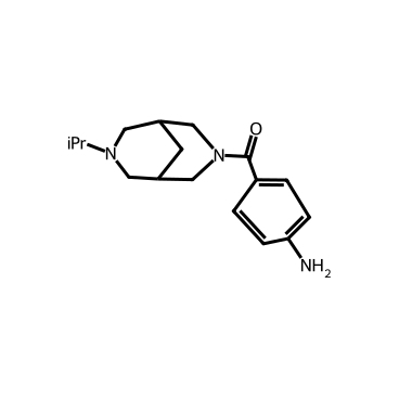 CC(C)N1CC2CC(CN(C(=O)c3ccc(N)cc3)C2)C1